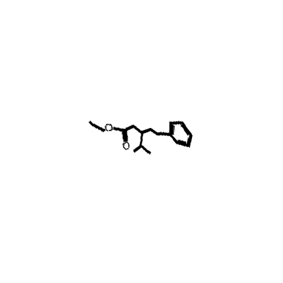 CCOC(=O)CC(CCc1ccccc1)C(C)C